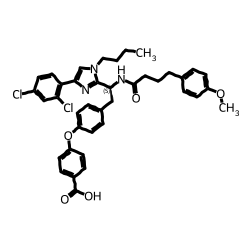 CCCCn1cc(-c2ccc(Cl)cc2Cl)nc1[C@H](Cc1ccc(Oc2ccc(C(=O)O)cc2)cc1)NC(=O)CCCc1ccc(OC)cc1